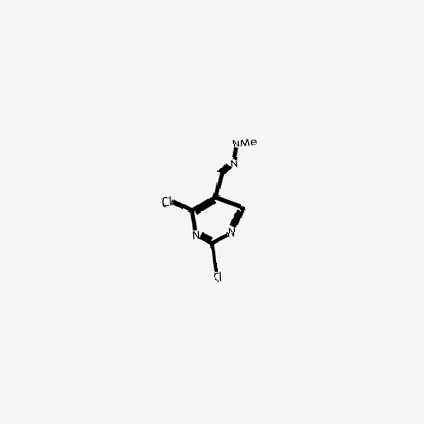 CN/N=C/c1cnc(Cl)nc1Cl